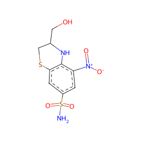 NS(=O)(=O)c1cc2c(c([N+](=O)[O-])c1)NC(CO)CS2